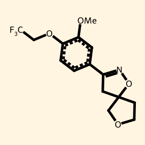 COc1cc(C2=NOC3(CCOC3)C2)ccc1OCC(F)(F)F